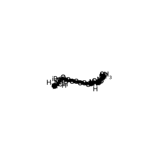 CC(C)C[C@H](NC(=O)[C@@H](O)[C@H](N)Cc1ccccc1)C(=O)NCCOCCOCCOCCOCCOCCOc1ccc(C(=O)Nc2ccc3oc(-c4ccc(=O)n(C)n4)nc3c2)nc1